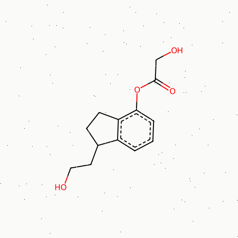 O=C(CO)Oc1cccc2c1CCC2CCO